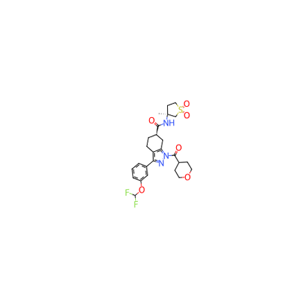 C[C@]1(NC(=O)[C@@H]2CCc3c(-c4cccc(OC(F)F)c4)nn(C(=O)C4CCOCC4)c3C2)CCS(=O)(=O)C1